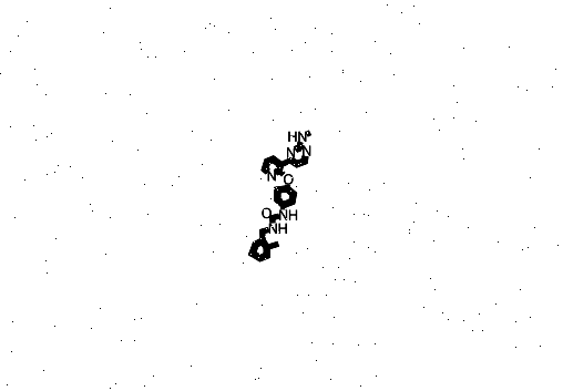 CNc1nccc(-c2cccnc2Oc2ccc(NC(=O)NCc3ccccc3C)cc2)n1